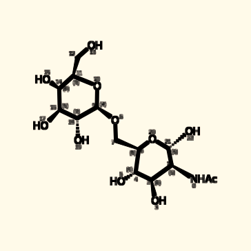 CC(=O)N[C@H]1[C@@H](O)[C@H](O)[C@@H](CO[C@@H]2O[C@H](CO)[C@H](O)[C@H](O)[C@H]2O)O[C@@H]1O